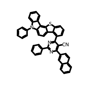 N#Cc1c(-c2ccc3ccccc3c2)nc(-c2ccccc2)nc1-c1cccc2sc3c(ccc4c3c3ccccc3n4-c3ccccc3)c12